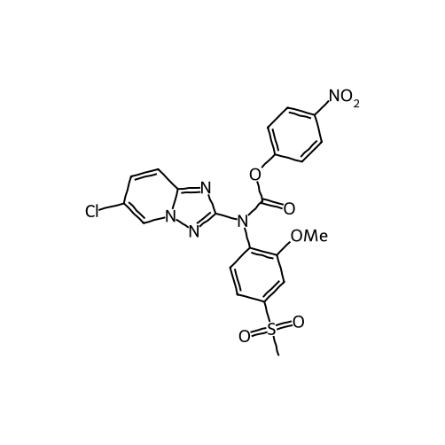 COc1cc(S(C)(=O)=O)ccc1N(C(=O)Oc1ccc([N+](=O)[O-])cc1)c1nc2ccc(Cl)cn2n1